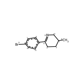 CC1CCC(c2ccc(Br)cc2)=NC1